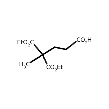 CCOC(=O)C(C)(CCC(=O)O)C(=O)OCC